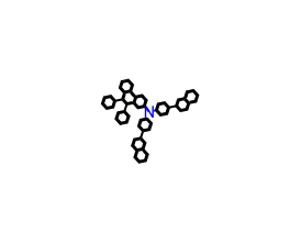 c1ccc(-c2c(-c3ccccc3)c3cc(N(c4ccc(-c5ccc6ccccc6c5)cc4)c4ccc(-c5ccc6ccccc6c5)cc4)ccc3c3ccccc23)cc1